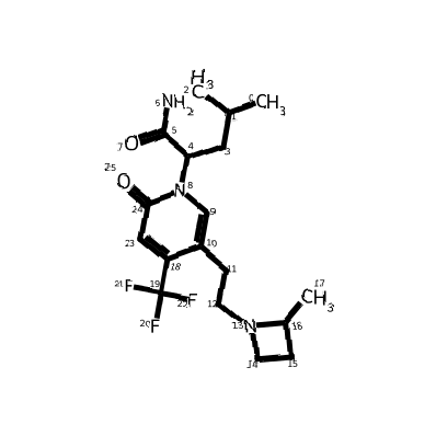 CC(C)CC(C(N)=O)n1cc(CCN2CCC2C)c(C(F)(F)F)cc1=O